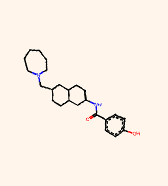 O=C(NC1CCC2CC(CN3CCCCCC3)CCC2C1)c1ccc(O)cc1